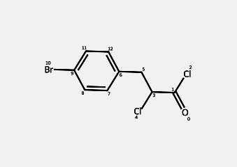 O=C(Cl)C(Cl)Cc1ccc(Br)cc1